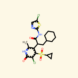 Cc1[nH]c(=O)c(Cl)c(S(=O)(=O)C2CC2)c1C(CC1CCCCC1)C(=O)Nc1ncc(Cl)s1